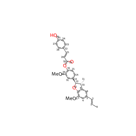 C/C=C/c1cc(OC)c2c(c1)[C@@H](C)[C@H](c1ccc(OC(=O)/C=C/c3ccc(O)cc3)c(OC)c1)O2